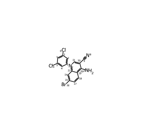 Clc1cccc(Cl)c1.N#Cc1cnc2cc(Br)ccc2c1N